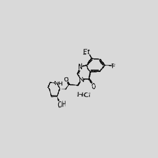 CCc1cc(F)cc2c(=O)n(CC(=O)C[C@H]3NCCC[C@@H]3O)cnc12.Cl